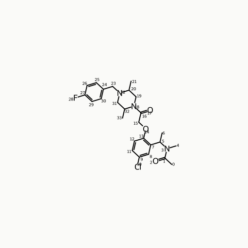 CC(=O)N(C)C(C)c1cc(Cl)ccc1OCC(=O)N1CC(C)N(Cc2ccc(F)cc2)CC1C